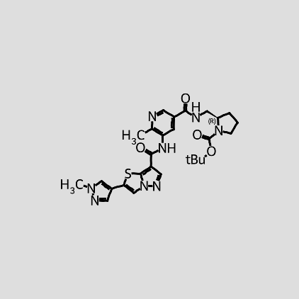 Cc1ncc(C(=O)NC[C@H]2CCCN2C(=O)OC(C)(C)C)cc1NC(=O)c1cnn2cc(-c3cnn(C)c3)sc12